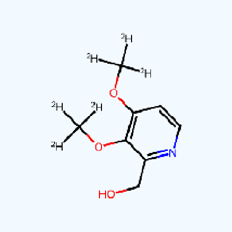 [2H]C([2H])([2H])Oc1ccnc(CO)c1OC([2H])([2H])[2H]